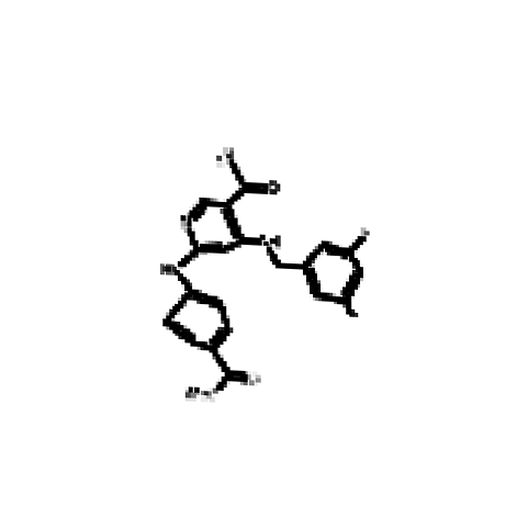 COC(=O)c1ccc(Nc2cc(NCc3cc(F)cc(F)c3)c(C(N)=O)cn2)cc1